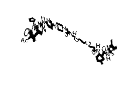 CC(=O)c1c(C)c2cnc(Nc3ccc(N4CCN(CC(=O)NCCOCCOCCC(=O)Nc5ccc(C)cc5C(=O)Nc5nc(C)c(C)s5)CC4)cn3)nc2n(C2CCCC2)c1=O